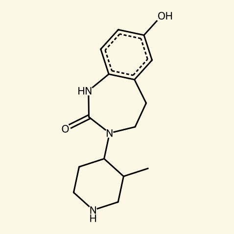 CC1CNCCC1N1CCc2cc(O)ccc2NC1=O